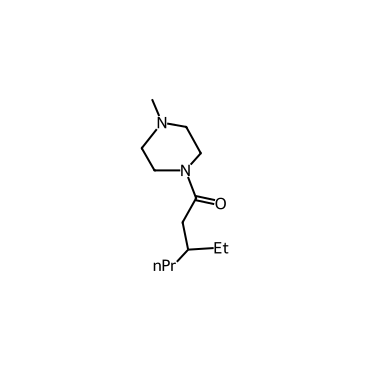 CCCC(CC)CC(=O)N1CCN(C)CC1